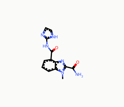 Cn1c(C(N)=O)nc2c(C(=O)Nc3ncc[nH]3)cccc21